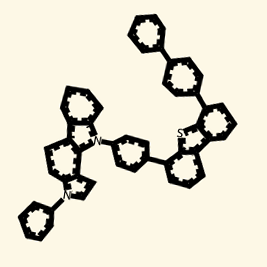 c1ccc(-c2ccc(-c3cccc4c3sc3c(-c5ccc(-n6c7ccccc7c7ccc8c(ccn8-c8ccccc8)c76)cc5)cccc34)cc2)cc1